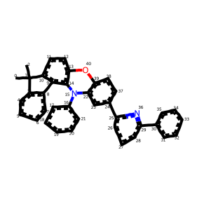 CC1(C)c2ccccc2-c2c1ccc1c2N(c2ccccc2)c2cc(-c3cccc(-c4ccccc4)n3)ccc2O1